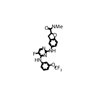 CNC(=O)C1Cc2cc(Nc3ncc(F)c(Nc4cccc(OC(F)(F)F)c4)n3)ccc2O1